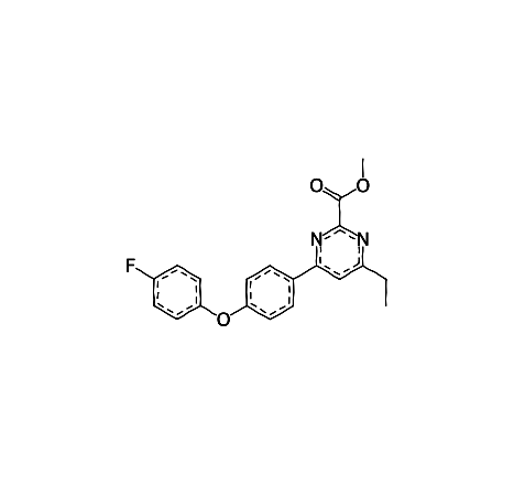 CCc1cc(-c2ccc(Oc3ccc(F)cc3)cc2)nc(C(=O)OC)n1